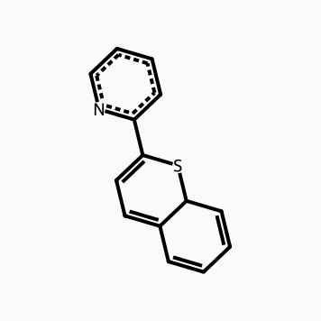 C1=CC2=CC=C(c3ccccn3)SC2C=C1